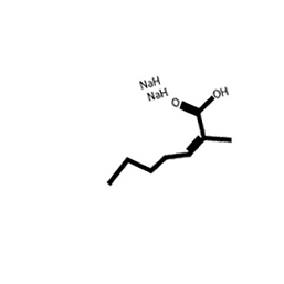 CCCCC=C(C)C(=O)O.[NaH].[NaH]